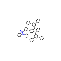 c1ccc(-c2cc(-c3ccccc3)cc(-c3c4ccccc4c(-c4cc(-c5ccccc5)cc(-c5ccccc5)c4)c4cc(-c5cccc(-c6nc7ccccc7n6-c6ccccc6)c5)ccc34)c2)cc1